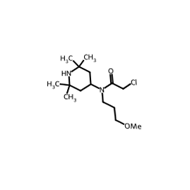 COCCCN(C(=O)CCl)C1CC(C)(C)NC(C)(C)C1